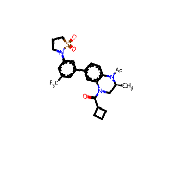 CC(=O)N1c2ccc(-c3cc(N4CCCS4(=O)=O)cc(C(F)(F)F)c3)cc2N(C(=O)C2CCC2)C[C@@H]1C